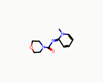 Cn1cccc/c1=N\C(=O)N1CCOCC1